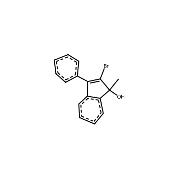 CC1(O)C(Br)=C(c2ccccc2)c2ccccc21